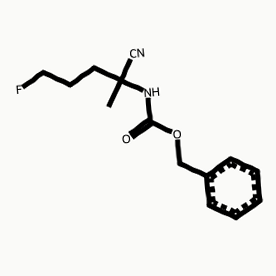 CC(C#N)(CCCF)NC(=O)OCc1ccccc1